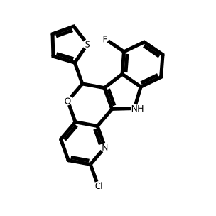 Fc1cccc2[nH]c3c(c12)C(c1cccs1)Oc1ccc(Cl)nc1-3